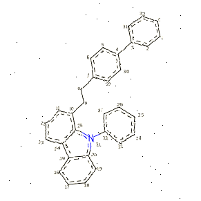 c1ccc(-c2ccc(CCc3cccc4c5ccccc5n(-c5ccccc5)c34)cc2)cc1